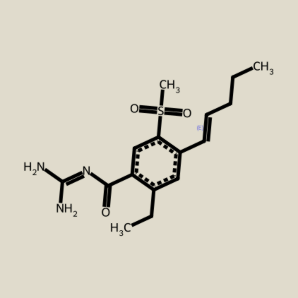 CCC/C=C/c1cc(CC)c(C(=O)N=C(N)N)cc1S(C)(=O)=O